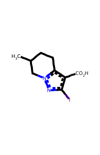 CC1CCc2c(C(=O)O)c(I)nn2C1